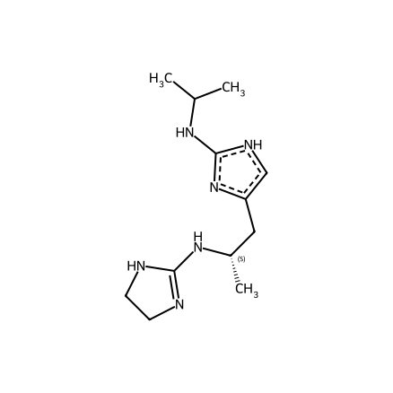 CC(C)Nc1nc(C[C@H](C)NC2=NCCN2)c[nH]1